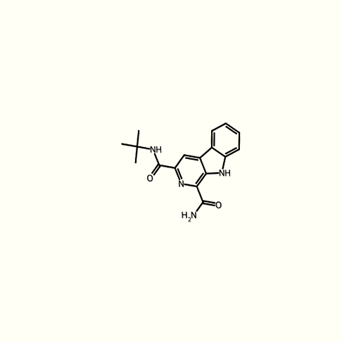 CC(C)(C)NC(=O)c1cc2c([nH]c3ccccc32)c(C(N)=O)n1